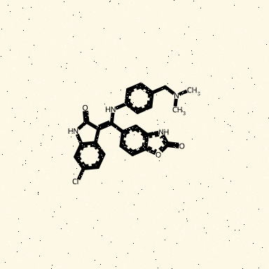 CN(C)Cc1ccc(N/C(=C2\C(=O)Nc3cc(Cl)ccc32)c2ccc3oc(=O)[nH]c3c2)cc1